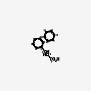 O=C(O)O.Oc1ccccc1.c1ccccc1